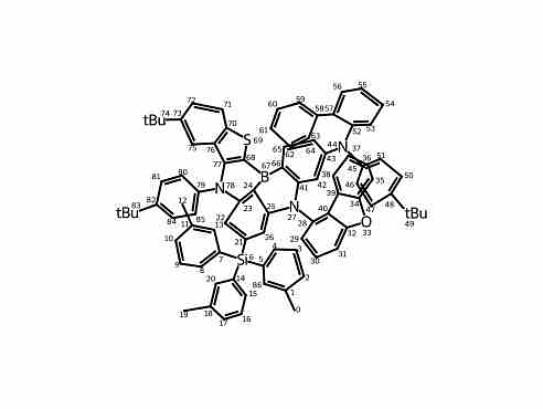 Cc1cccc([Si](c2cccc(C)c2)(c2cccc(C)c2)c2cc3c4c(c2)N(c2cccc5oc6ccccc6c25)c2cc(N(c5ccc(C(C)(C)C)cc5)c5ccccc5-c5ccccc5)ccc2B4c2sc4ccc(C(C)(C)C)cc4c2N3c2ccc(C(C)(C)C)cc2)c1